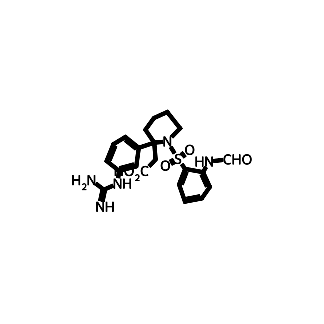 N=C(N)Nc1cccc(C2(CC(=O)O)CCCCN2S(=O)(=O)c2ccccc2NC=O)c1